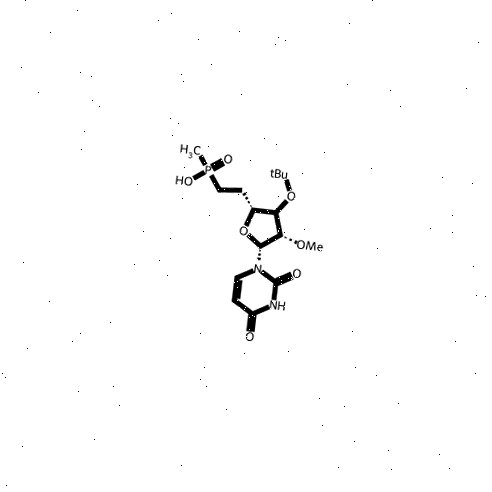 CO[C@H]1C(OC(C)(C)C)[C@@H](CCP(C)(=O)O)O[C@H]1n1ccc(=O)[nH]c1=O